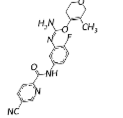 CC1=C(O/C(N)=N\c2cc(NC(=O)c3ccc(C#N)cn3)ccc2F)CCOC1